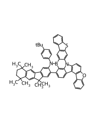 CC(C)(C)c1ccc(N2B3c4cc5c(cc4-n4c6ccc7oc8ccccc8c7c6c6ccc(c3c64)-c3cc4c(cc32)-c2cc3c(cc2C4(C)C)C(C)(C)CCC3(C)C)sc2ccccc25)cc1